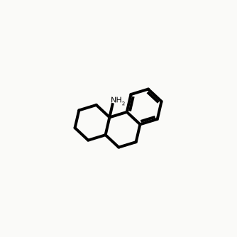 NC12CCCCC1CCc1ccccc12